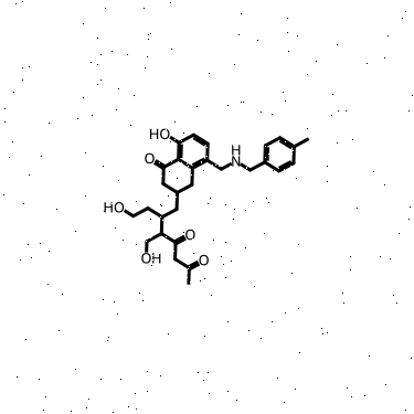 CC(=O)CC(=O)C(CO)C(CCO)CC1CC(=O)c2c(O)ccc(CNCc3ccc(C)cc3)c2C1